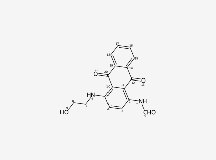 O=CNc1ccc(NCCO)c2c1C(=O)c1ccccc1C2=O